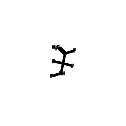 C=C(F)C(F)(F)NF